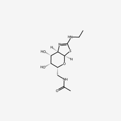 CCNC1=N[C@@H]2[C@@H](O)[C@@H](O)[C@@H](CNC(C)=O)O[C@@H]2S1